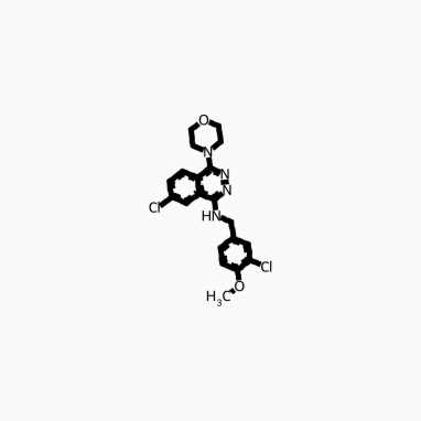 COc1ccc(CNc2nnc(N3CCOCC3)c3ccc(Cl)cc23)cc1Cl